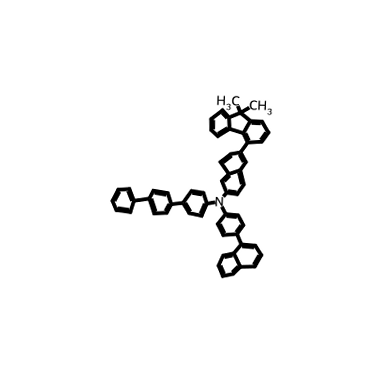 CC1(C)c2ccccc2-c2c(-c3ccc4cc(N(c5ccc(-c6ccc(-c7ccccc7)cc6)cc5)c5ccc(-c6cccc7ccccc67)cc5)ccc4c3)cccc21